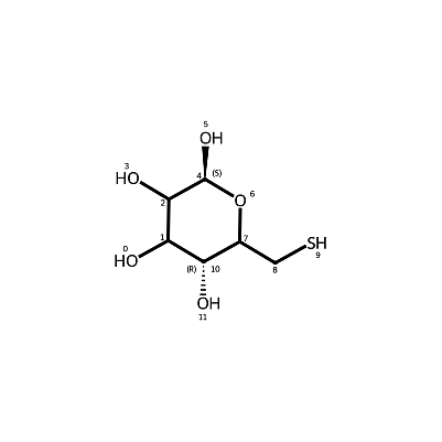 OC1C(O)[C@@H](O)OC(CS)[C@@H]1O